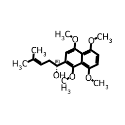 COc1ccc(OC)c2c(OC)c([C@H](O)CC=C(C)C)cc(OC)c12